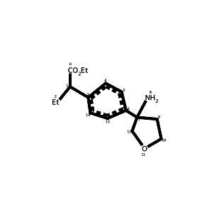 CCOC(=O)C(CC)c1ccc(C2(N)CCOC2)cc1